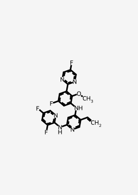 C=Cc1cnc(Nc2ncc(F)cc2F)cc1Nc1cc(F)cc(-c2ncc(F)cn2)c1OC